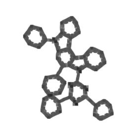 c1ccc(-c2nc(-c3ccccc3)nc(-n3c4ccccc4c4c5c6ccccc6n(-c6ccccc6)c5cc(-c5ccccc5)c43)n2)cc1